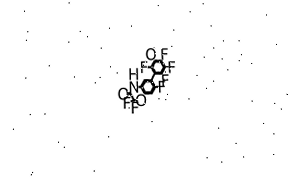 COc1c(F)c(F)c(F)c(-c2cc3c(cc2F)OC(F)(F)C(=O)N3)c1F